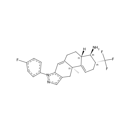 C[C@]12Cc3cnn(-c4ccc(F)cc4)c3C=C1CC[C@H]1C2=CC[C@@H](C(F)(F)F)[C@@H]1N